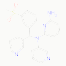 CS(=O)(=O)c1cccc(C(c2cccnc2)N(c2cccnc2)c2cccc(N)n2)c1